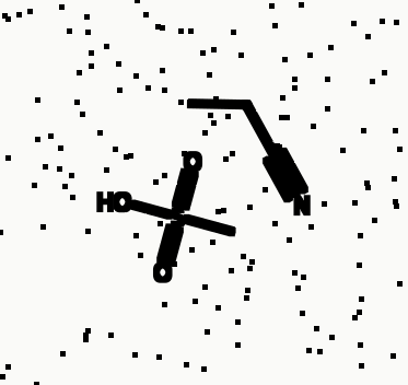 CCC#N.CS(=O)(=O)O